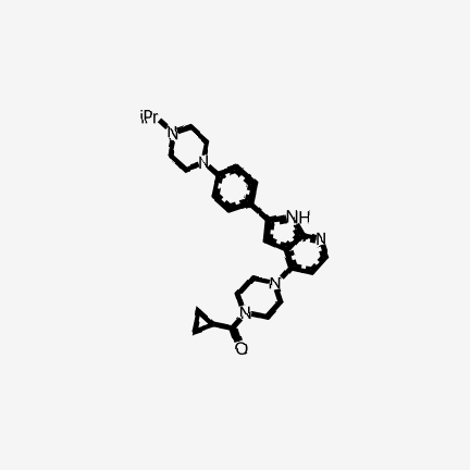 CC(C)N1CCN(c2ccc(-c3cc4c(N5CCN(C(=O)C6CC6)CC5)ccnc4[nH]3)cc2)CC1